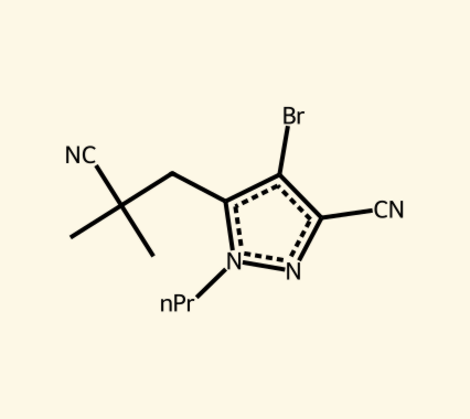 CCCn1nc(C#N)c(Br)c1CC(C)(C)C#N